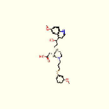 COc1cccc(SCCCN2CC[C@@H](CCC(O)c3ccnc4ccc(OC)cc34)[C@@H](CC(=O)O)C2)c1